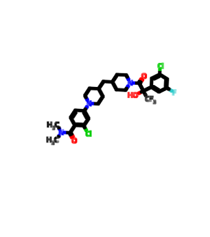 CN(C)C(=O)c1ccc(N2CCC(CC3CCN(C(=O)C(O)(c4cc(F)cc(Cl)c4)C(F)(F)F)CC3)CC2)cc1Cl